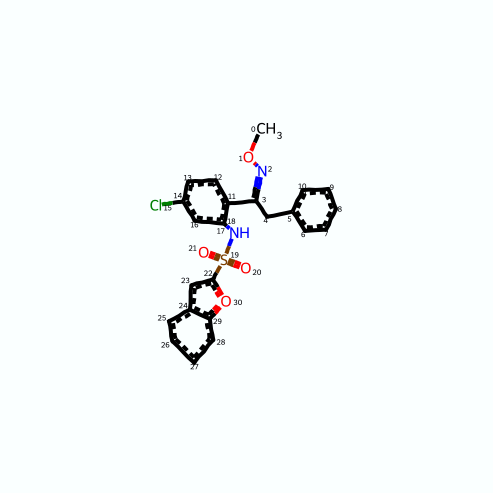 CO/N=C(/Cc1ccccc1)c1ccc(Cl)cc1NS(=O)(=O)c1cc2ccccc2o1